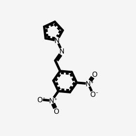 O=[N+]([O-])c1cc(C=Nn2cccc2)cc([N+](=O)[O-])c1